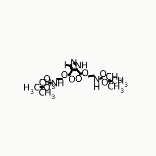 CC(C)(C)OC(=O)NCCOC(=O)c1[nH]nc(I)c1C(=O)OCCNC(=O)OC(C)(C)C